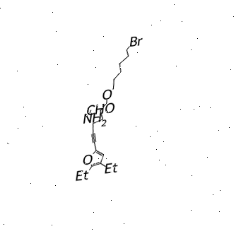 CCc1cc(C#CCCCCOCCCCCCBr)oc1CC.NC=O